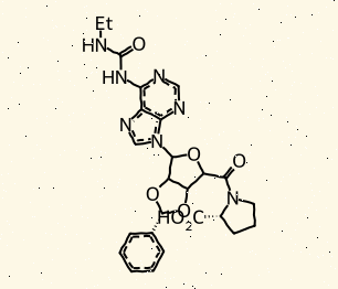 CCNC(=O)Nc1ncnc2c1ncn2C1OC(C(=O)N2CCC[C@@H]2C(=O)O)C2O[C@H](c3ccccc3)OC21